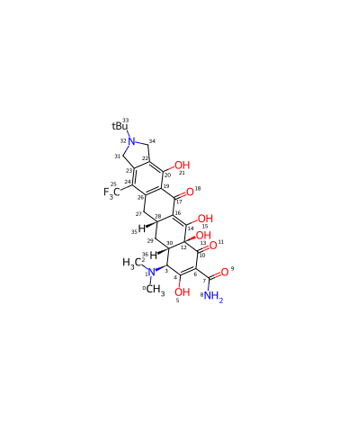 CN(C)[C@@H]1C(O)=C(C(N)=O)C(=O)[C@@]2(O)C(O)=C3C(=O)c4c(O)c5c(c(C(F)(F)F)c4C[C@H]3C[C@@H]12)CN(C(C)(C)C)C5